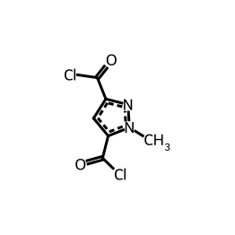 Cn1nc(C(=O)Cl)cc1C(=O)Cl